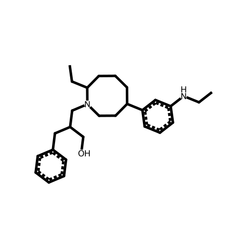 CCNc1cccc(C2CCCC(CC)N(CC(CO)Cc3ccccc3)CC2)c1